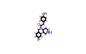 CC(C)c1ccc(CC(=O)N(Cc2ccc(F)cc2)C2CCNCC2)cc1